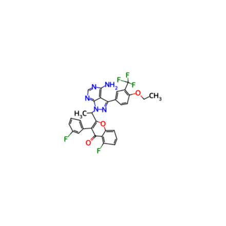 CCOc1ccc(-c2nn(C(C)c3oc4cccc(F)c4c(=O)c3-c3cccc(F)c3)c3ncnc(N)c23)cc1C(F)(F)F